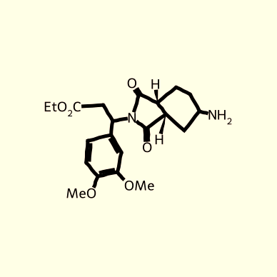 CCOC(=O)CC(c1ccc(OC)c(OC)c1)N1C(=O)[C@H]2CC(N)CC[C@H]2C1=O